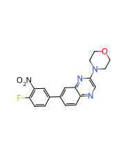 O=[N+]([O-])c1cc(-c2ccc3ncc(N4CCOCC4)nc3c2)ccc1F